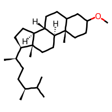 COC1CC[C@@]2(C)C(CC[C@H]3[C@@H]4CC[C@H]([C@H](C)CC[C@H](C)C(C)C)[C@@]4(C)CC[C@@H]32)C1